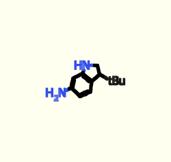 CC(C)(C)C1CNc2cc(N)ccc21